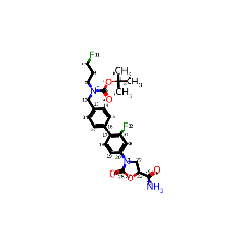 CC(C)(C)OC(=O)N(CCCF)Cc1ccc(-c2ccc(N3CC(C(N)=O)OC3=O)cc2F)cc1